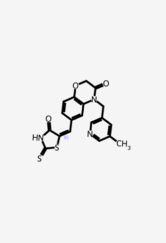 Cc1cncc(CN2C(=O)COc3ccc(/C=C4/SC(=S)NC4=O)cc32)c1